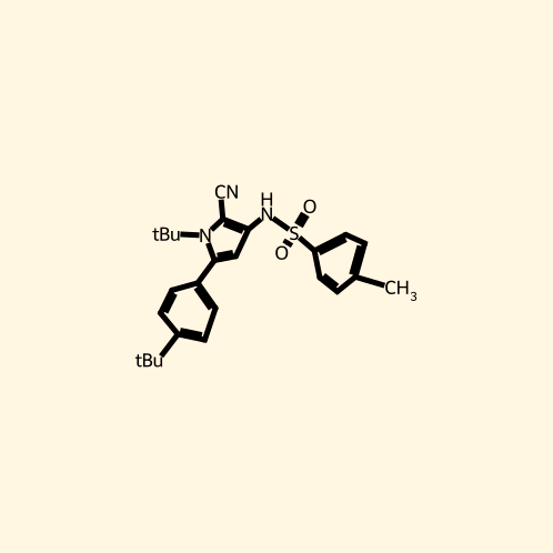 Cc1ccc(S(=O)(=O)Nc2cc(-c3ccc(C(C)(C)C)cc3)n(C(C)(C)C)c2C#N)cc1